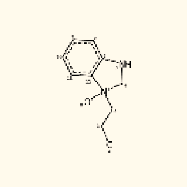 [O-][N+]1(CCCl)CNc2ccccc21